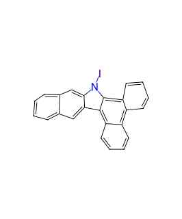 In1c2cc3ccccc3cc2c2c3ccccc3c3ccccc3c21